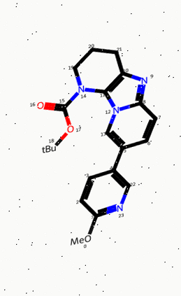 COc1ccc(-c2ccc3nc4c(n3c2)N(C(=O)OC(C)(C)C)CCC4)cn1